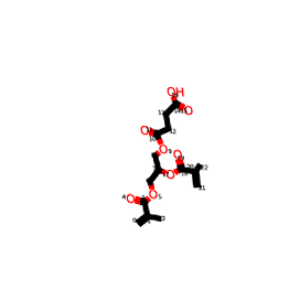 C=C(C)C(=O)OCC(COC(=O)CCC(=O)O)OC(=O)C(=C)C